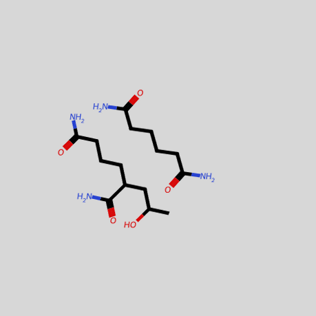 CC(O)CC(CCCC(N)=O)C(N)=O.NC(=O)CCCCC(N)=O